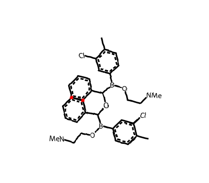 CNCCOB(c1ccc(C)c(Cl)c1)C(OC(B(OCCNC)c1ccc(C)c(Cl)c1)c1ccccc1)c1ccccc1